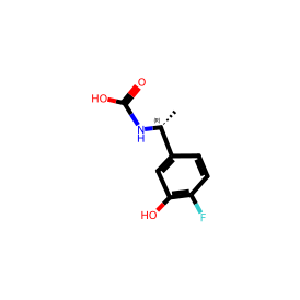 C[C@@H](NC(=O)O)c1ccc(F)c(O)c1